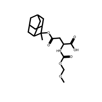 COCOC(=O)NC(CC(=O)OC1(C)C2CC3CC(C2)CC1C3)C(=O)O